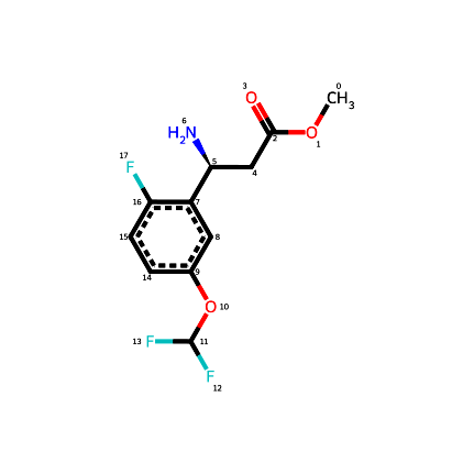 COC(=O)C[C@H](N)c1cc(OC(F)F)ccc1F